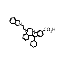 O=C(O)c1ccc2c(C3CCCCC3)c3n(c2c1)CCN(CCN1Cc2ccccc2C1)c1ccccc1-3